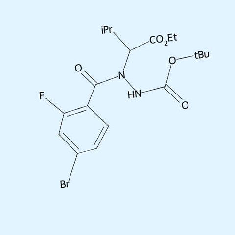 CCOC(=O)C(C(C)C)N(NC(=O)OC(C)(C)C)C(=O)c1ccc(Br)cc1F